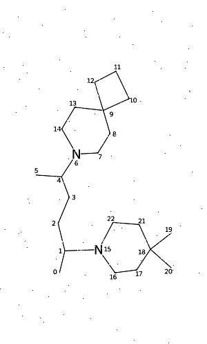 CC(CCC(C)N1CCC2(CCC2)CC1)N1CCC(C)(C)CC1